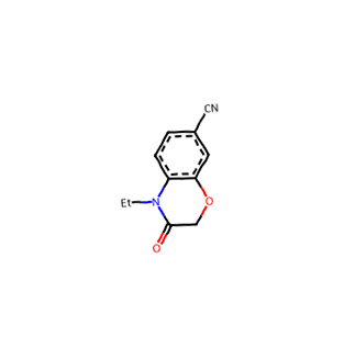 CCN1C(=O)COc2cc(C#N)ccc21